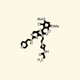 C=CC(=O)NC1CN(CCn2c(=O)c(-c3c(Cl)c(OC)cc(OC)c3Cl)cc3cnc(NCC4CCOCC4)nc32)C1